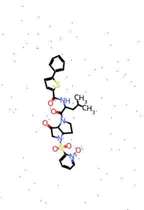 CC(C)CC(NC(=O)c1ccc(-c2ccccc2)s1)C(=O)N1CCC2C1C(=O)CN2S(=O)(=O)c1cccc[n+]1[O-]